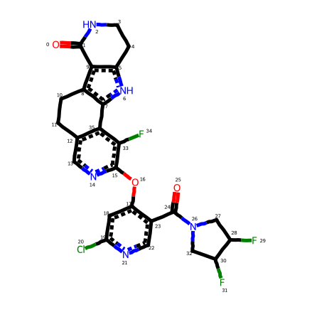 O=C1NCCc2[nH]c3c(c21)CCc1cnc(Oc2cc(Cl)ncc2C(=O)N2CC(F)C(F)C2)c(F)c1-3